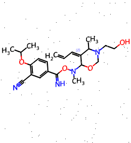 C=C/C=C1/C(C)N(CCO)COC1N(C)OC(=N)c1ccc(OC(C)C)c(C#N)c1